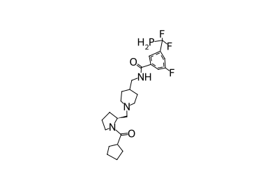 O=C(NCC1CCN(C[C@@H]2CCCN2C(=O)C2CCCC2)CC1)c1cc(F)cc(C(F)(F)P)c1